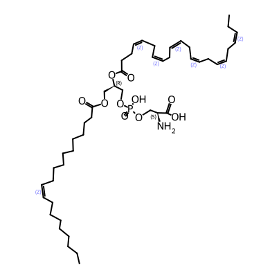 CC/C=C\C/C=C\C/C=C\C/C=C\C/C=C\C/C=C\CCC(=O)O[C@H](COC(=O)CCCCCCCCC/C=C\CCCCCCCC)COP(=O)(O)OC[C@H](N)C(=O)O